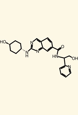 O=C(NC(CO)c1ccccn1)c1ccc2cnc(N[C@H]3CC[C@H](O)CC3)nc2c1